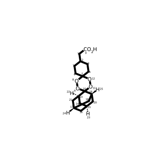 O=C(O)CC1CCC2(CC1)OOC1(OO2)[C@H]2C[C@@H]3C[C@@H](C[C@H]1C3)C2